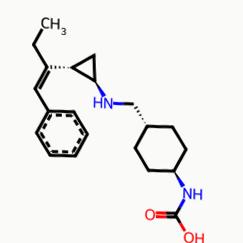 CCC(=Cc1ccccc1)[C@@H]1C[C@H]1NC[C@H]1CC[C@H](NC(=O)O)CC1